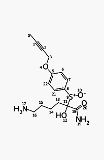 CC#CCOc1ccc([S+]([O-])C(O)(CCCCN)C(N)=O)cc1